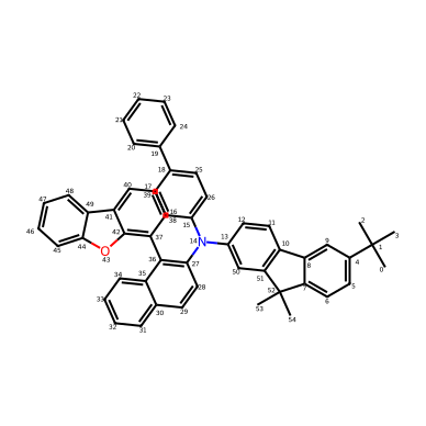 CC(C)(C)c1ccc2c(c1)-c1ccc(N(c3ccc(-c4ccccc4)cc3)c3ccc4ccccc4c3-c3cccc4c3oc3ccccc34)cc1C2(C)C